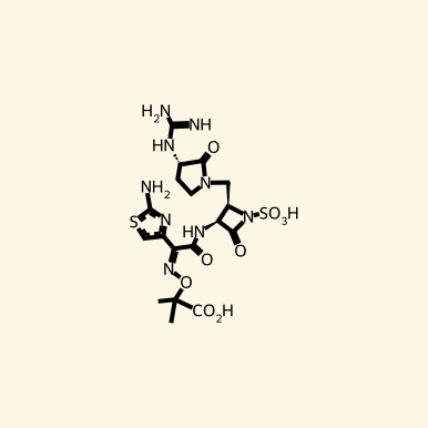 CC(C)(O/N=C(\C(=O)N[C@@H]1C(=O)N(S(=O)(=O)O)[C@@H]1CN1CC[C@H](NC(=N)N)C1=O)c1csc(N)n1)C(=O)O